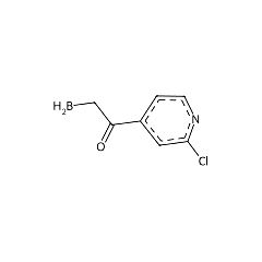 BCC(=O)c1ccnc(Cl)c1